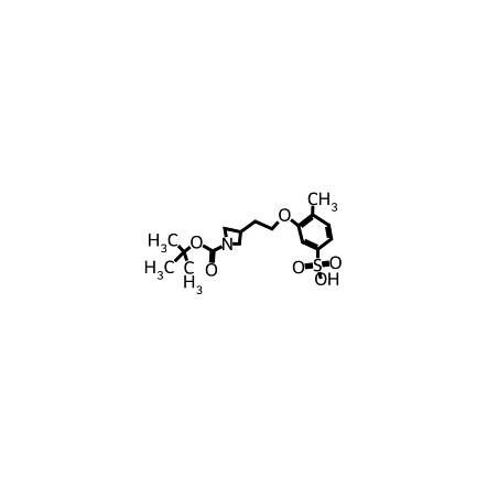 Cc1ccc(S(=O)(=O)O)cc1OCCC1CN(C(=O)OC(C)(C)C)C1